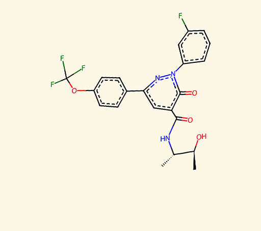 C[C@H](O)[C@H](C)NC(=O)c1cc(-c2ccc(OC(F)(F)F)cc2)nn(-c2cccc(F)c2)c1=O